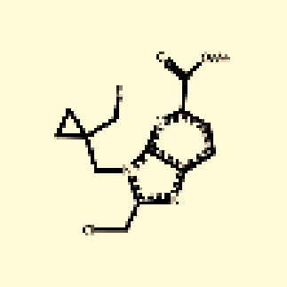 COC(=O)c1ccc2nc(CCl)n(CC3(CF)CC3)c2n1